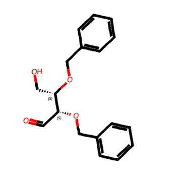 O=C[C@@H](OCc1ccccc1)[C@H](CO)OCc1ccccc1